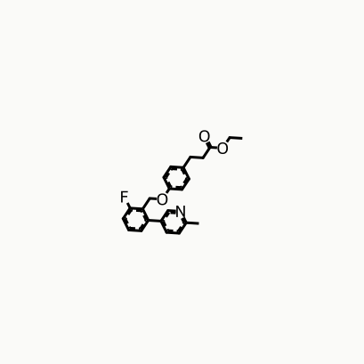 CCOC(=O)CCc1ccc(OCc2c(F)cccc2-c2ccc(C)nc2)cc1